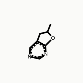 CC1Cc2cncnc2O1